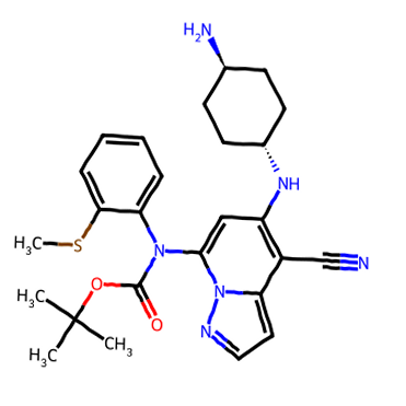 CSc1ccccc1N(C(=O)OC(C)(C)C)c1cc(N[C@H]2CC[C@H](N)CC2)c(C#N)c2ccnn12